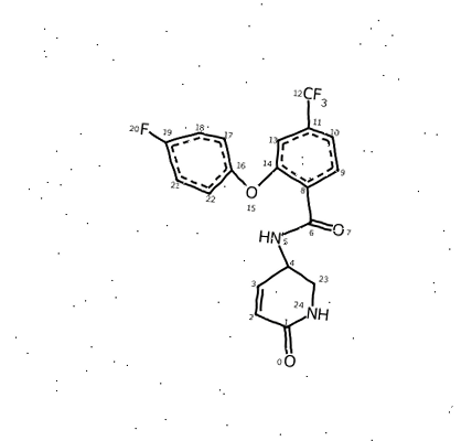 O=C1C=CC(NC(=O)c2ccc(C(F)(F)F)cc2Oc2ccc(F)cc2)CN1